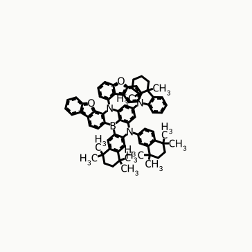 CC1(C)CCC(C)(C)c2cc(N3c4cc5c(cc4B4c6ccc7c(oc8ccccc87)c6N(c6cccc7oc8ccccc8c67)c6cc(N7c8ccccc8C8(C)CCCCC78C)cc3c64)C(C)(C)CCC5(C)C)ccc21